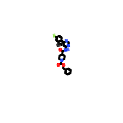 COc1cc(F)ccc1-c1cc(NC(=O)C2CCN(C(=O)OCc3ccccc3)CC2)ncn1